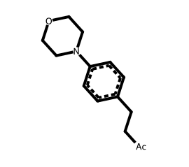 CC(=O)CCc1ccc(N2CCOCC2)cc1